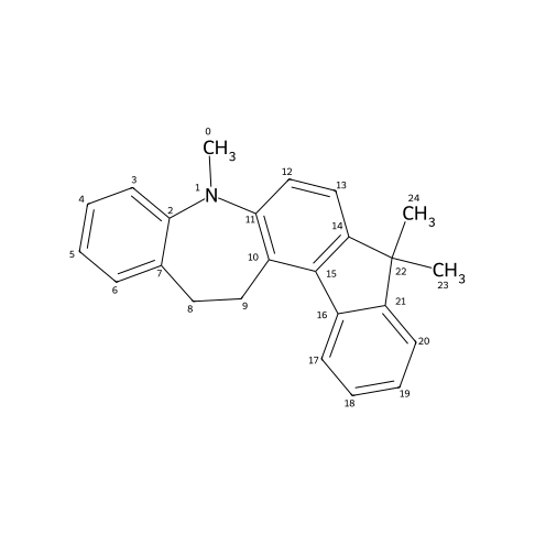 CN1c2ccccc2CCc2c1ccc1c2-c2ccccc2C1(C)C